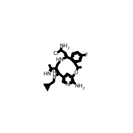 CC(=N)/C1=C(\NCC2CC2)c2cnc(N)c(c2)OC(C)c2cc(F)ccc2/C(=C/C(N)Cl)NC1